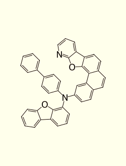 c1ccc(-c2ccc(N(c3ccc4ccc5ccc6c7cccnc7oc6c5c4c3)c3cccc4c3oc3ccccc34)cc2)cc1